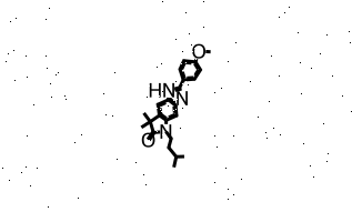 COc1ccc(-c2nc3cc4c(cc3[nH]2)C(C)(C)C(=O)N4CCC(C)C)cc1